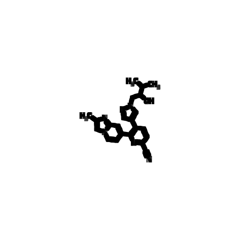 Cc1cn2ccc(-c3nc(C#N)ccc3-c3cnn(CC(O)C(C)C)c3)cc2n1